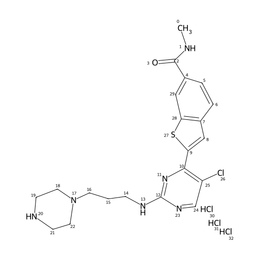 CNC(=O)c1ccc2cc(-c3nc(NCCCN4CCNCC4)ncc3Cl)sc2c1.Cl.Cl.Cl